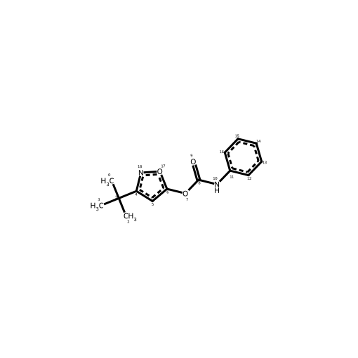 CC(C)(C)c1cc(OC(=O)Nc2ccccc2)on1